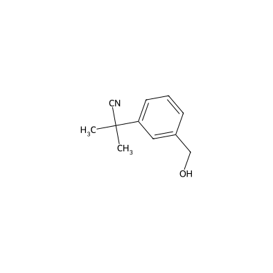 CC(C)(C#N)c1cccc(CO)c1